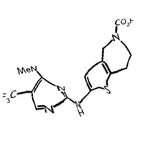 CNc1nc(Nc2cc3c(s2)CCN(C(=O)O)C3)ncc1C(F)(F)F